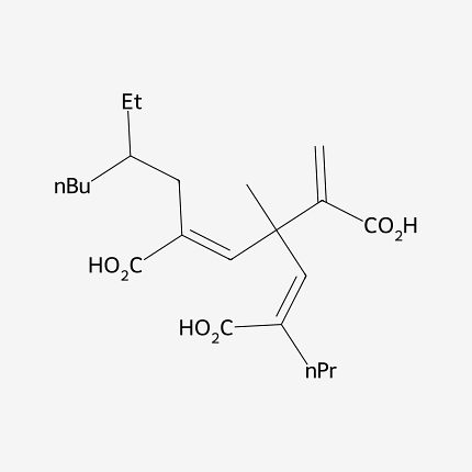 C=C(C(=O)O)C(C)(C=C(CCC)C(=O)O)C=C(CC(CC)CCCC)C(=O)O